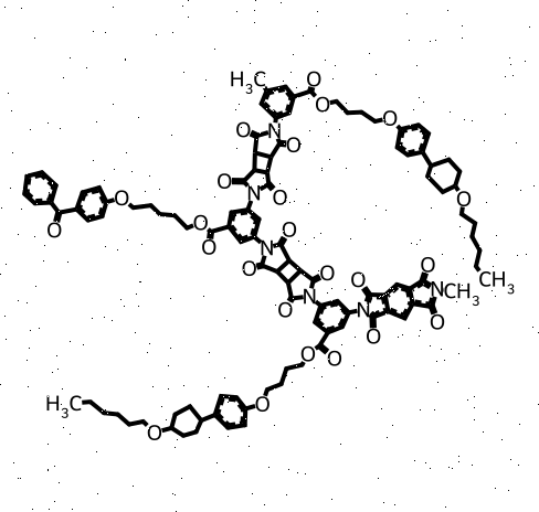 CCCCCCOC1CCC(c2ccc(OCCCCOC(=O)c3cc(C)cc(N4C(=O)C5C(C4=O)C4C(=O)N(c6cc(C(=O)OCCCCCOc7ccc(C(=O)c8ccccc8)cc7)cc(N7C(=O)C8C(C7=O)C7C(=O)N(c9cc(C(=O)OCCCCOc%10ccc(C%11CCC(OCCCCCC)CC%11)cc%10)cc(-n%10c(=O)c%11cc%12c(=O)n(C)c(=O)c%12cc%11c%10=O)c9)C(=O)C87)c6)C(=O)C54)c3)cc2)CC1